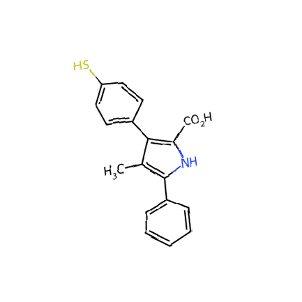 Cc1c(-c2ccccc2)[nH]c(C(=O)O)c1-c1ccc(S)cc1